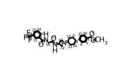 COC(=O)c1ccc([C@H]2CC[C@@H](N3CC(NC(=O)CNC(=O)c4cccc(C(F)(F)F)c4)C3)CC2)cc1